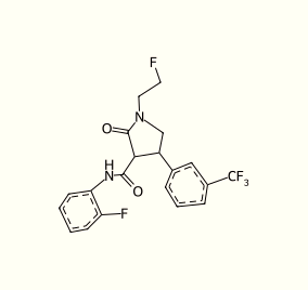 O=C(Nc1ccccc1F)C1C(=O)N(CCF)CC1c1cccc(C(F)(F)F)c1